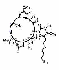 COc1cc2cc(c1Cl)N(C)C(=O)C[C@H](OC(=O)[C@H](C)N(C)C(=O)CCSSCCN)[C@@]1(C)O[C@H]1[C@H](C)[C@@H]1C[C@@](O)(NC(=O)O1)[C@H](OC)/C=C/C=C(\C)C2